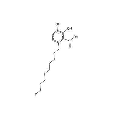 O=C(O)c1c(CCCCCCCCCI)ccc(O)c1O